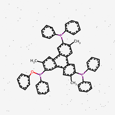 Cc1cc2c(cc1P(Oc1ccccc1)c1ccccc1)c1cc(C)c(P(c3ccccc3)c3ccccc3)cc1c1cc(C)c(P(c3ccccc3)c3ccccc3)cc21